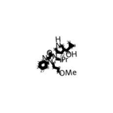 COCCCCn1c(C(=O)N(CC(C)C)[C@@H]2CNCC(C(O)C3CC3)C2)nc2ccccc21